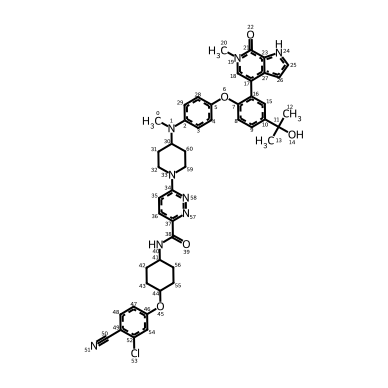 CN(c1ccc(Oc2ccc(C(C)(C)O)cc2-c2cn(C)c(=O)c3[nH]ccc23)cc1)C1CCN(c2ccc(C(=O)NC3CCC(Oc4ccc(C#N)c(Cl)c4)CC3)nn2)CC1